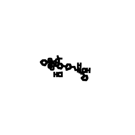 CC(C)Oc1cc(-c2ccc(CCNC[C@H](O)c3ccccc3)cc2)ccc1C(=O)NS(=O)(=O)c1ccccc1.Cl